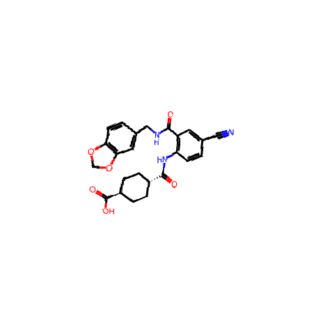 N#Cc1ccc(NC(=O)[C@H]2CC[C@H](C(=O)O)CC2)c(C(=O)NCc2ccc3c(c2)OCO3)c1